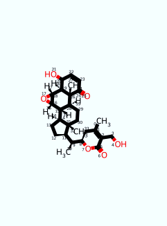 CC1=C(CO)C(=O)O[C@@H]([C@@H](C)[C@H]2CC[C@H]3[C@@H]4[C@@H]5O[C@@H]5[C@H]5C(O)C=CC(=O)[C@]5(C)[C@H]4CC[C@]23C)C1